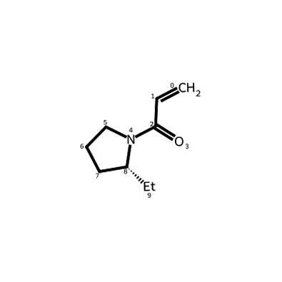 C=CC(=O)N1CCC[C@H]1CC